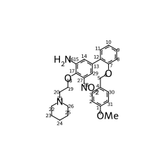 COc1ccc(COc2ccccc2-c2cc(N)c(OCCN3CCCCC3)c([N+](=O)[O-])c2)cc1